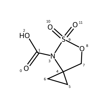 O=C(O)N1C2(CC2)COS1(=O)=O